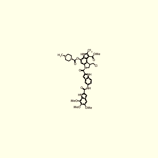 COC(=O)c1c(C(F)(F)F)[nH]c2c(OC(=O)N3CCN(C)CC3)cc3c(c12)C(CCl)CN3C(=O)c1cc2cc(NC(=O)c3cc4cc(OC)c(OC)c(OC)c4[nH]3)ccc2[nH]1